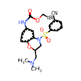 CN(C)CC1CN(S(=O)(=O)c2cccc(C#N)c2)c2cc(NC(=O)OCC(C)(C)C)ccc2O1